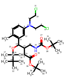 Cc1ccc(N(CCCl)CCCl)cc1C(O[Si](C)(C)C(C)(C)C)C(CNC(=O)OC(C)(C)C)CC(=O)OC(C)(C)C